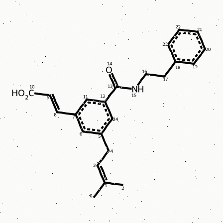 CC(C)=CCc1cc(/C=C/C(=O)O)cc(C(=O)NCCc2ccccc2)c1